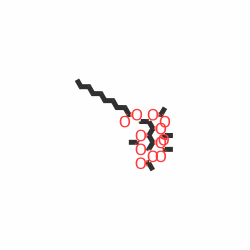 CCCCCCCCCC(=O)OCC(OC(C)=O)C(OC(C)=O)C(OC(C)=O)C(COC(C)=O)OC(C)=O